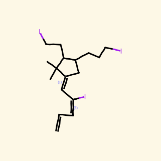 C=C/C=C(I)\C=C1/CC(CCCI)C(CCI)C1(C)C